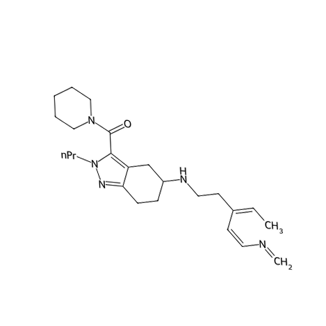 C=N/C=C\C(=C/C)CCNC1CCc2nn(CCC)c(C(=O)N3CCCCC3)c2C1